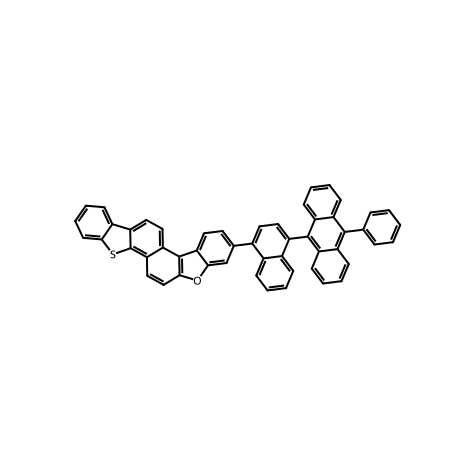 c1ccc(-c2c3ccccc3c(-c3ccc(-c4ccc5c(c4)oc4ccc6c(ccc7c8ccccc8sc76)c45)c4ccccc34)c3ccccc23)cc1